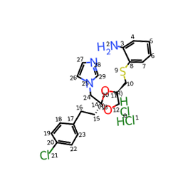 Cl.Cl.Nc1ccccc1SC[C@H]1CO[C@@](CCc2ccc(Cl)cc2)(Cn2ccnc2)O1